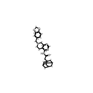 O=C(CC12CC3CC(CC(C3)C1)C2)Nc1ncnc2c1CCN(Cc1ccc3c(c1)OCO3)C2